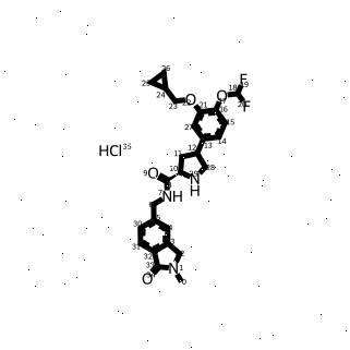 CN1Cc2cc(CNC(=O)[C@H]3CC(c4ccc(OC(F)F)c(OCC5CC5)c4)CN3)ccc2C1=O.Cl